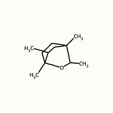 CC1OC2(C)CCC1(C)CC2C